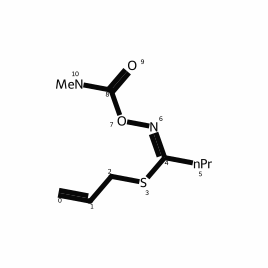 C=CCSC(CCC)=NOC(=O)NC